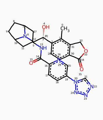 Cc1c([C@@H](O)CN2C3CCC2CC(NC(=O)c2ccc(-n4cnnn4)cn2)C3)ccc2c1COC2=O